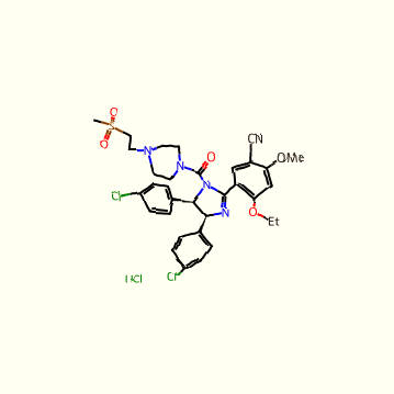 CCOc1cc(OC)c(C#N)cc1C1=N[C@@H](c2ccc(Cl)cc2)[C@@H](c2ccc(Cl)cc2)N1C(=O)N1CCN(CCS(C)(=O)=O)CC1.Cl